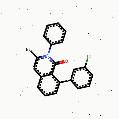 CCc1cc2cccc(-c3cccc(Cl)c3)c2c(=O)n1-c1ccccc1